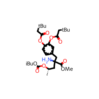 COC(=O)C(N)(Cc1ccc(OC(=O)CC(C)(C)C)c(OC(=O)CC(C)(C)C)c1)C[C@H](C)OC(=O)OCC(C)C